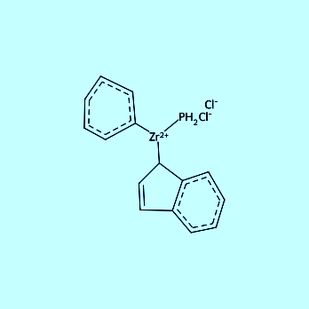 [Cl-].[Cl-].[PH2][Zr+2]([c]1ccccc1)[CH]1C=Cc2ccccc21